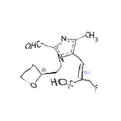 Cc1nc(C=O)n(C[C@@H]2CCO2)c1/C=C(/F)C(=O)O